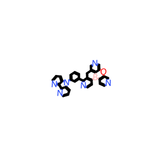 c1cc(-c2nccc3c2Cc2cncc4c2B3c2ccncc2O4)cc(-n2c3cccnc3c3ncccc32)c1